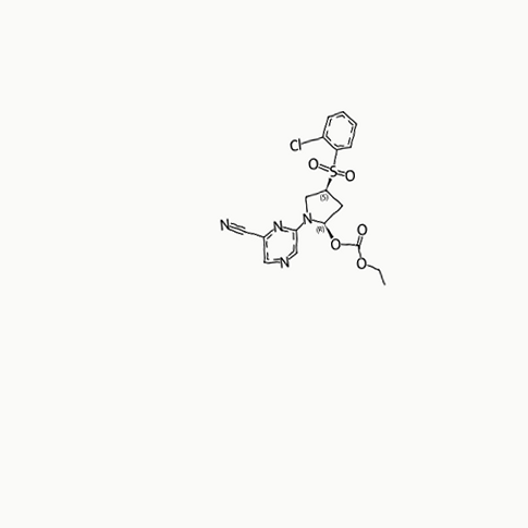 CCOC(=O)O[C@@H]1C[C@H](S(=O)(=O)c2ccccc2Cl)CN1c1cncc(C#N)n1